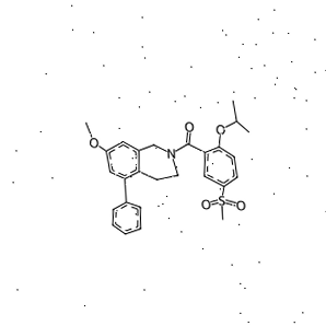 COc1cc2c(c(-c3ccccc3)c1)CCN(C(=O)c1cc(S(C)(=O)=O)ccc1OC(C)C)C2